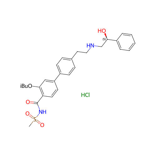 CC(C)COc1cc(-c2ccc(CCNC[C@@H](O)c3ccccc3)cc2)ccc1C(=O)NS(C)(=O)=O.Cl